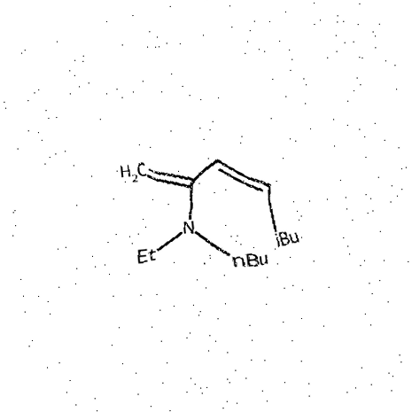 C=C(/C=C\C(C)CC)N(CC)CCCC